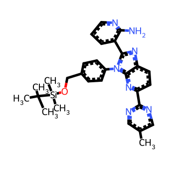 Cc1cnc(-c2ccc3nc(-c4cccnc4N)n(-c4ccc(CO[Si](C)(C)C(C)(C)C)cc4)c3n2)nc1